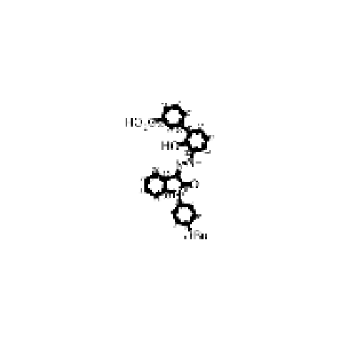 CC(C)(C)c1ccc(N2C(=O)C(=NNc3cccc(-c4cccc(C(=O)O)c4)c3O)c3ccccc32)cc1